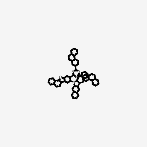 C1=C2C(Cc3ccccc31)c1cc3ccccc3cc1N2c1cc2c(cc1-c1nc(-c3ccc4c(ccc5ccccc54)c3)nc(-c3ccc4c(ccc5ccccc54)c3)n1)oc1c3ccccc3ccc21